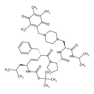 CC1=C(C)C(=O)C(CN2CCN(C[C@H](NC(=O)[C@@H]3CCCN3C(=O)[C@H](/C=C/[C@H](CC(C)C)NC(=O)OC(C)(C)C)Cc3ccccc3)C(=O)NC(C)C)CC2)=C(C)C1=O